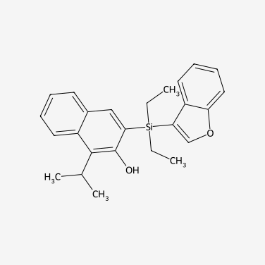 CC[Si](CC)(c1cc2ccccc2c(C(C)C)c1O)c1coc2ccccc12